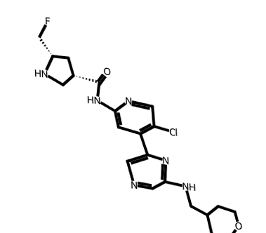 O=C(Nc1cc(-c2cncc(NCC3CCOCC3)n2)c(Cl)cn1)[C@@H]1CN[C@H](CF)C1